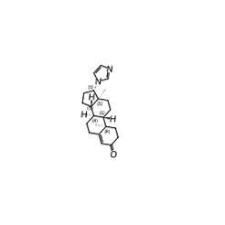 C[C@]12CC[C@H]3[C@@H](CCC4=CC(=O)CC[C@@]43C)[C@@H]1CC[C@@H]2n1ccnc1